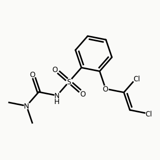 CN(C)C(=O)NS(=O)(=O)c1ccccc1O/C(Cl)=C/Cl